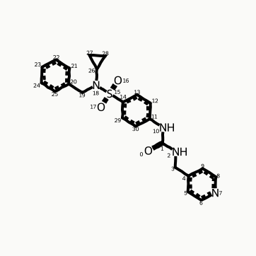 O=C(NCc1ccncc1)Nc1ccc(S(=O)(=O)N(Cc2ccccc2)C2CC2)cc1